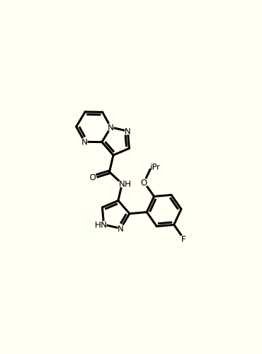 CC(C)Oc1ccc(F)cc1-c1n[nH]cc1NC(=O)c1cnn2cccnc12